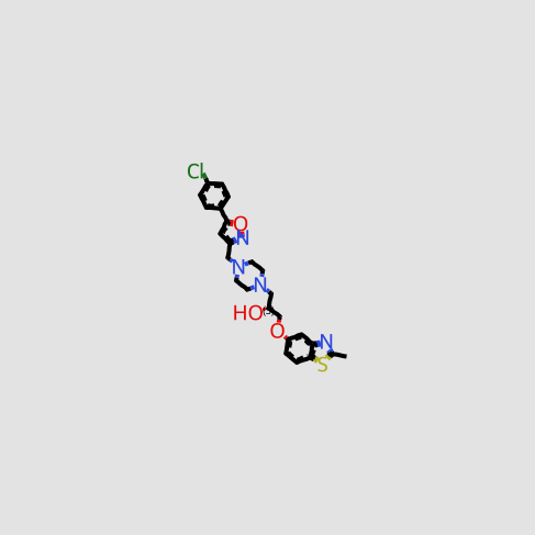 Cc1nc2cc(OC[C@@H](O)CN3CCN(Cc4cc(-c5ccc(Cl)cc5)on4)CC3)ccc2s1